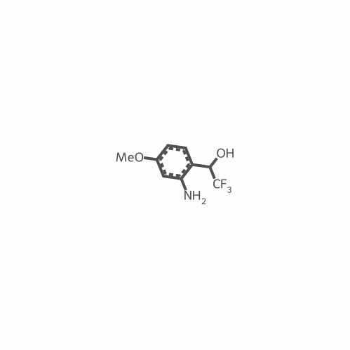 COc1ccc(C(O)C(F)(F)F)c(N)c1